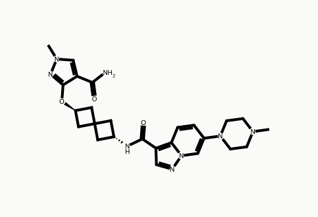 CN1CCN(c2ccc3c(C(=O)N[C@H]4CC5(C4)C[C@H](Oc4nn(C)cc4C(N)=O)C5)cnn3c2)CC1